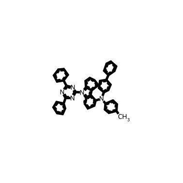 Cc1ccc(N(c2ccc(-c3ccccc3)cc2)c2cccc3c2c2ccccc2n3-c2nc(-c3ccccc3)nc(-c3ccccc3)n2)cc1